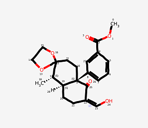 COC(=O)c1cccc([C@]23CCC4(OCCO4)[C@@H](C)[C@@H]2CC/C(=C/O)C3=O)c1